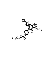 CCOC(=O)N1CCC(NC(=O)c2c(-c3ccc(Cl)s3)noc2N)CC1